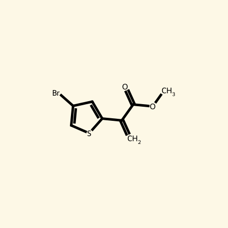 C=C(C(=O)OC)c1cc(Br)cs1